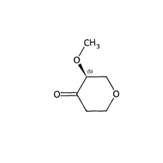 CO[C@H]1COCCC1=O